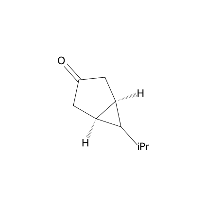 CC(C)C1[C@H]2CC(=O)C[C@@H]12